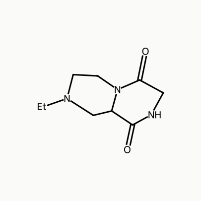 CCN1CCN2C(=O)CNC(=O)C2C1